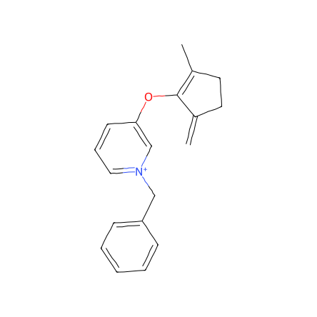 C=C1CCC(C)=C1Oc1ccc[n+](Cc2ccccc2)c1